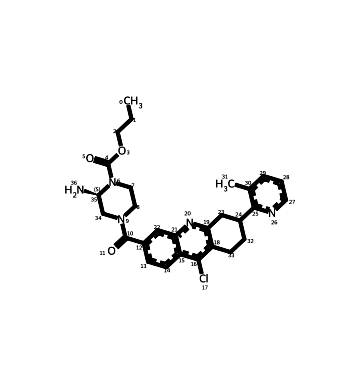 CCCOC(=O)N1CCN(C(=O)c2ccc3c(Cl)c4c(nc3c2)CC(c2ncccc2C)CC4)C[C@H]1N